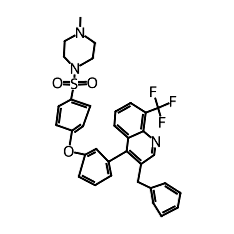 CN1CCN(S(=O)(=O)c2ccc(Oc3cccc(-c4c(Cc5ccccc5)cnc5c(C(F)(F)F)cccc45)c3)cc2)CC1